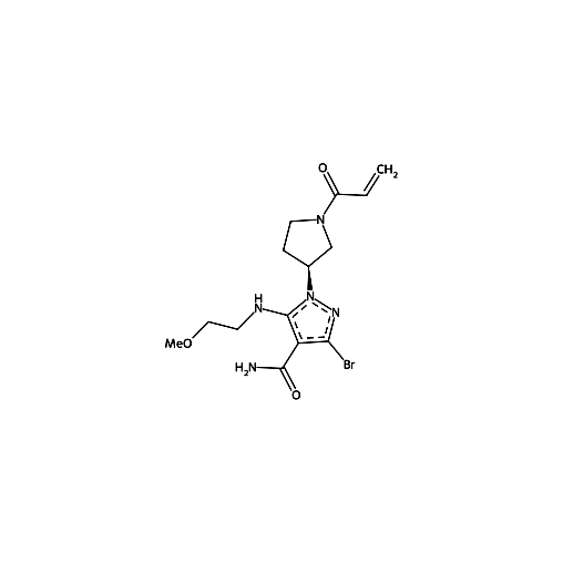 C=CC(=O)N1CC[C@H](n2nc(Br)c(C(N)=O)c2NCCOC)C1